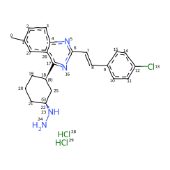 Cc1ccc2nc(C=Cc3ccc(Cl)cc3)nc([C@@H]3CCC[C@H](NN)C3)c2c1.Cl.Cl